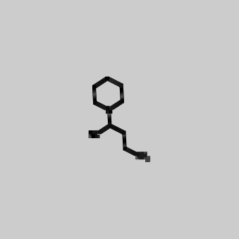 N#CC(CCN)N1CCCCC1